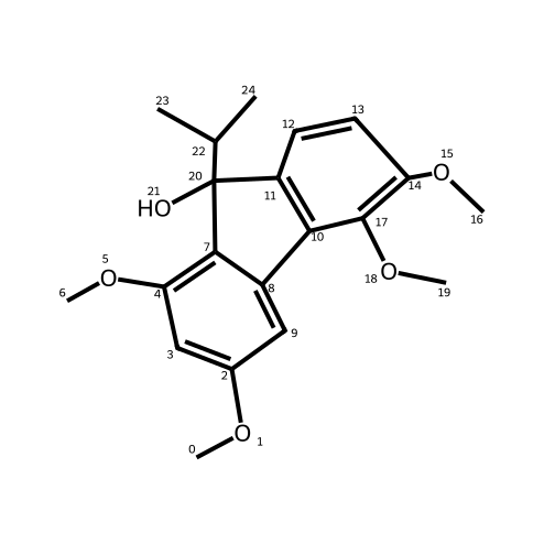 COc1cc(OC)c2c(c1)-c1c(ccc(OC)c1OC)C2(O)C(C)C